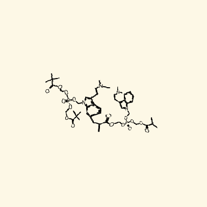 CC(C)C(=O)OCOP(=O)(OCOC(=O)C(C)Cc1ccc2c(CCN(C)C)cn(COP(=O)(OCOC(=O)C(C)(C)C)OCOC(=O)C(C)(C)C)c2c1)OCn1cc(CCN(C)C)c2ccccc21